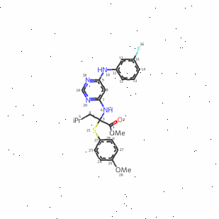 COC(=O)C(CC(C)C)(Nc1cc(Nc2cccc(F)c2)ncn1)Sc1ccc(OC)cc1